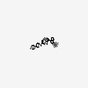 CN1CCN(C2CCN(c3cnc4c(-c5ccc(N[SH](=O)=O)c6ccccc56)cnn4c3)CC2)CC1